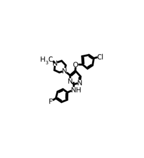 CN1CCN(c2nc(Nc3ccc(F)cc3)ncc2Oc2ccc(Cl)cc2)CC1